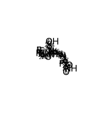 O=C1CCC(c2ccc(CN3CCN(c4ccc5c(c4)nc(NC(=O)c4cccc(C(F)(F)F)c4)n5C4CCC(CO)CC4)CC3)cc2F)C(=O)N1